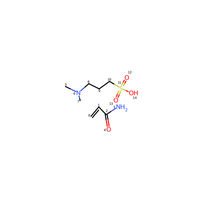 C=CC(N)=O.CN(C)CCCS(=O)(=O)O